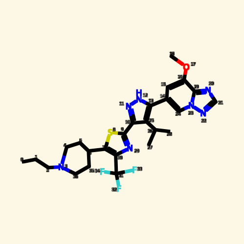 CCCN1CCC(c2sc(-c3n[nH]c(-c4cc(OC)c5ncnn5c4)c3C(C)C)nc2C(F)(F)F)CC1